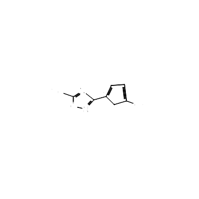 CC1=CC=C(c2noc(C(F)(F)F)n2)C1